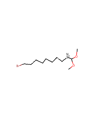 COC(OC)[SiH2]CCCCCCCCBr